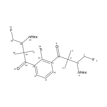 CCCCCCC(CF)C(C)(C)C(=O)c1cccc(C(=O)C(C)(C)C(CF)CCCCCC)[c]1[Ti]